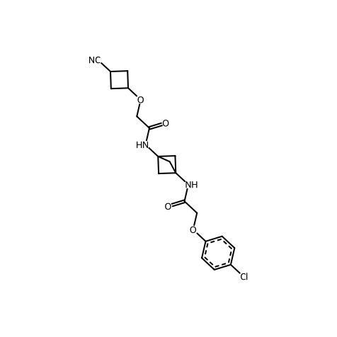 N#CC1CC(OCC(=O)NC23CC(NC(=O)COc4ccc(Cl)cc4)(C2)C3)C1